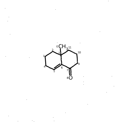 CC12CCCC=C1C(=O)CCC2